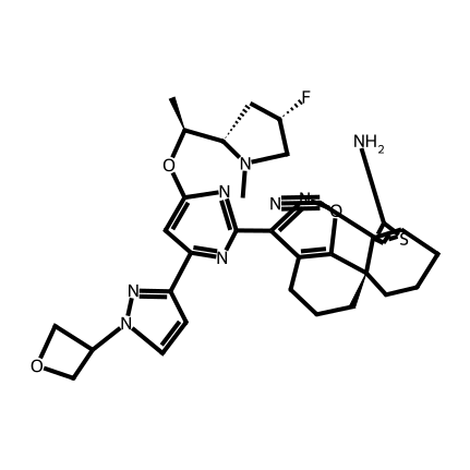 C[C@H](Oc1cc(-c2ccn(C3COC3)n2)nc(-c2noc3c2CCC[C@@]32CCCc3sc(N)c(C#N)c32)n1)[C@@H]1C[C@H](F)CN1C